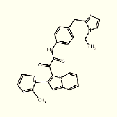 CCn1ccnc1Cc1ccc(NC(=O)C(=O)c2c(-c3ccccc3C)cc3ccccn23)cc1